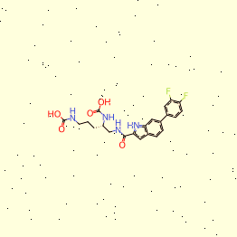 O=C(O)NCCC[C@@H](CNC(=O)c1cc2ccc(-c3ccc(F)c(F)c3)cc2[nH]1)NC(=O)O